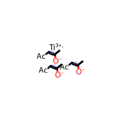 CC(=O)/C=C(/C)[O-].CC(=O)/C=C(/C)[O-].CC(=O)/C=C(/C)[O-].[Ti+3]